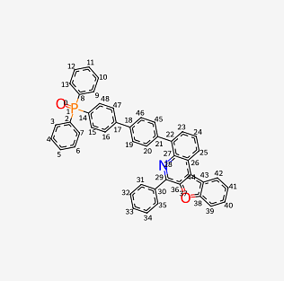 O=P(c1ccccc1)(c1ccccc1)c1ccc(-c2ccc(-c3cccc4c3nc(-c3ccccc3)c3oc5ccccc5c34)cc2)cc1